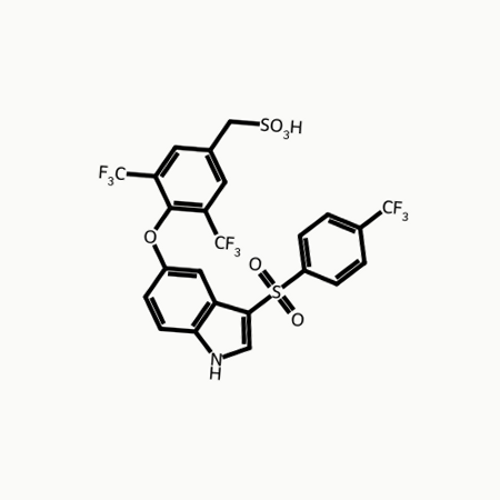 O=S(=O)(O)Cc1cc(C(F)(F)F)c(Oc2ccc3[nH]cc(S(=O)(=O)c4ccc(C(F)(F)F)cc4)c3c2)c(C(F)(F)F)c1